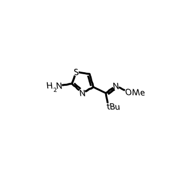 CON=C(c1csc(N)n1)C(C)(C)C